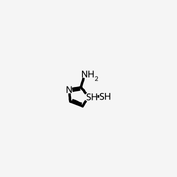 NC1=NC=C[SH]1S